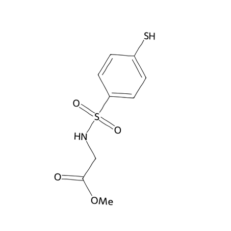 COC(=O)CNS(=O)(=O)c1ccc(S)cc1